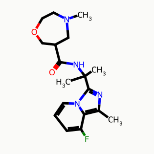 Cc1nc(C(C)(C)NC(=O)C2COCCN(C)C2)n2cccc(F)c12